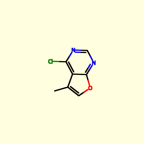 Cc1coc2ncnc(Cl)c12